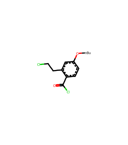 CCCCOc1ccc(C(=O)Cl)c(CCCl)c1